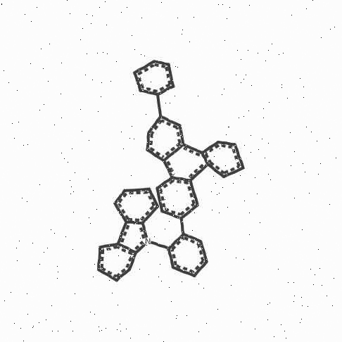 c1ccc(-c2ccc3c4ccc(-c5ccccc5-n5c6ccccc6c6ccccc65)cc4c4ccccc4c3c2)cc1